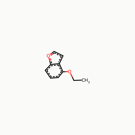 CCOc1cccc2occc12